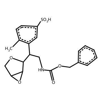 Cc1ccc(S(=O)(=O)O)cc1C(CNC(=O)OCc1ccccc1)C1OCC2OC21